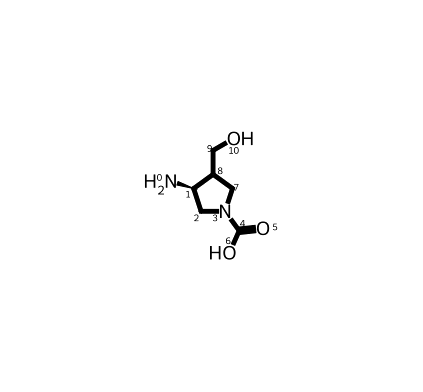 N[C@@H]1CN(C(=O)O)CC1CO